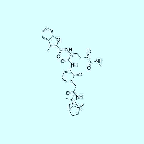 CNC(=O)C(=O)CC[C@H](NC(=O)c1oc2ccccc2c1C)C(=O)Nc1cccn(CC(=O)NC2CC3CC[C@]2(C)C3C(C)C)c1=O